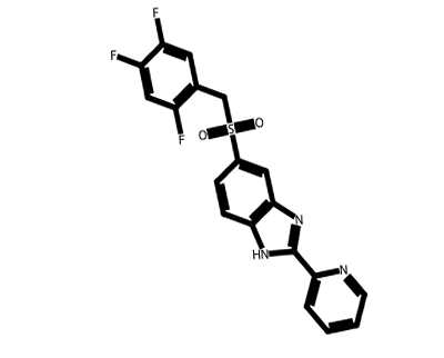 O=S(=O)(Cc1cc(F)c(F)cc1F)c1ccc2[nH]c(-c3ccccn3)nc2c1